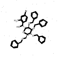 Cc1cc(Br)ccc1C(O)[C@H]1O[C@H](COCc2ccccc2)[C@@H](OCc2ccccc2)[C@H](OCc2ccccc2)[C@@H]1OCc1ccccc1